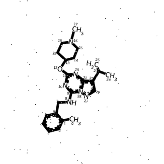 Cc1ccccc1CNc1nc(OC2CCN(C)CC2)nc2c(C(C)C)cnn12